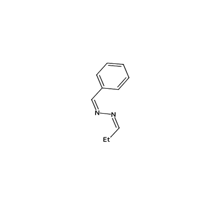 CC/C=N\N=C/c1ccccc1